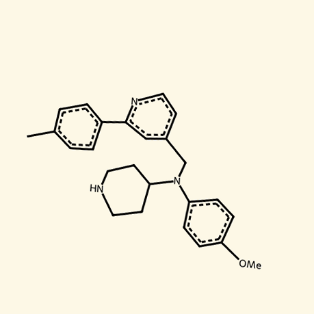 COc1ccc(N(Cc2ccnc(-c3ccc(C)cc3)c2)C2CCNCC2)cc1